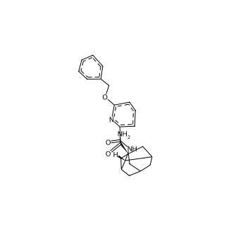 NC(=O)[C@]12CC3CC(C1)[C@@H](NC(=O)c1cccc(OCc4ccccc4)n1)C(C3)C2